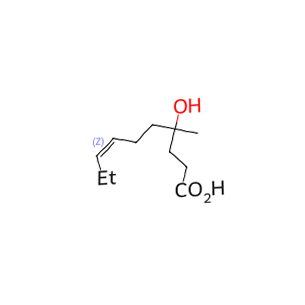 CC/C=C\CCC(C)(O)CCC(=O)O